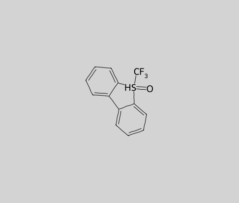 O=[SH]1(C(F)(F)F)c2ccccc2-c2ccccc21